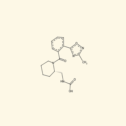 Cc1noc(-c2ccccc2C(=O)N2CCCC[C@H]2CNC(=O)O)n1